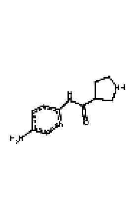 Nc1ccc(NC(=O)C2CCNC2)nc1